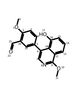 COc1ccc(-c2cnc(OC)c3cccc(O)c23)cc1C=O